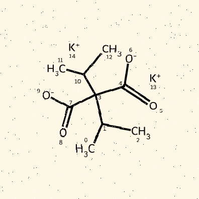 CC(C)C(C(=O)[O-])(C(=O)[O-])C(C)C.[K+].[K+]